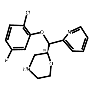 Fc1ccc(Cl)c(OC(c2ccccn2)[C@@H]2CNCCO2)c1